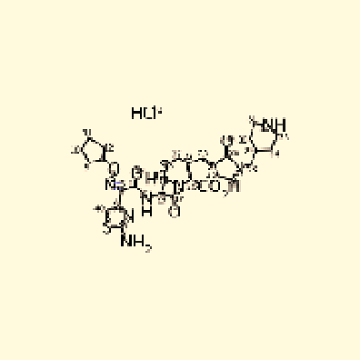 Cl.Nc1nc(/C(=N/OC2CCCC2)C(=O)N[C@@H]2C(=O)N3C(C(=O)O)=C(C=C4CCN(CC5CCNCC5)C4=O)CS[C@H]23)cs1